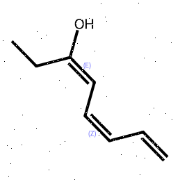 C=C/C=C\C=C(\O)CC